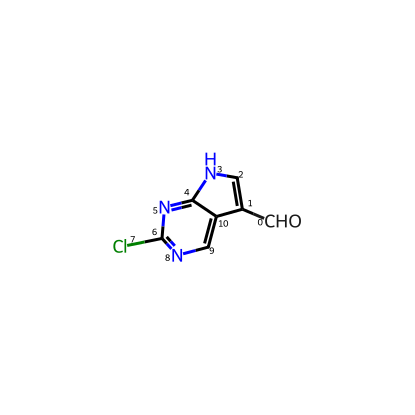 O=Cc1c[nH]c2nc(Cl)ncc12